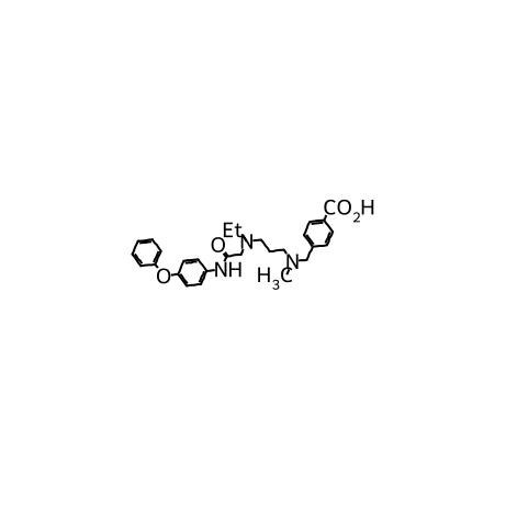 CCN(CCCN(C)Cc1ccc(C(=O)O)cc1)CC(=O)Nc1ccc(Oc2ccccc2)cc1